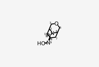 CC(C)N1C2COCC1CC(=NO)C2